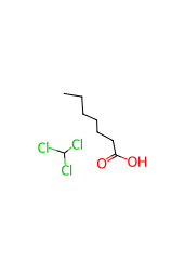 CCCCCCC(=O)O.ClC(Cl)Cl